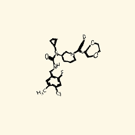 Cc1cc(CNC(=O)N(C2CC2)[C@@H]2CCCN(C(=O)[C@@H]3COCCO3)C2)c(F)cc1Cl